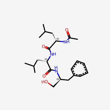 CC(=O)N[C@@H](CC(C)C)C(=O)N[C@@H](CC(C)C)C(=O)N[C@H](CO)Cc1ccccc1